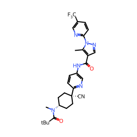 Cc1c(C(=O)Nc2ccc([C@]3(C#N)CC[C@@H](N(C)C(=O)C(C)(C)C)CC3)nc2)cnn1-c1ccc(C(F)(F)F)cn1